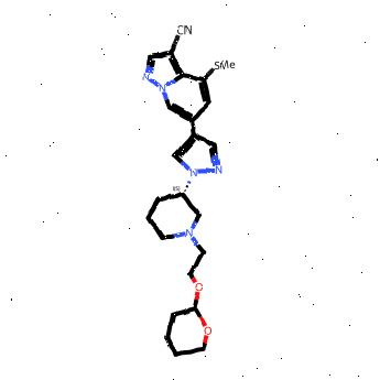 CSc1cc(-c2cnn([C@H]3CCCN(CCOC4CCCCO4)C3)c2)cn2ncc(C#N)c12